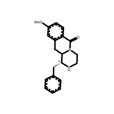 COc1ccc2c(c1)CC1[C@@H](Cc3ccccc3)NCCN1C2=O